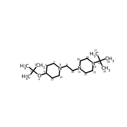 CC(C)(C)OC1CCN(CCN2CCN(C(C)(C)C)CC2)CC1